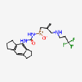 C=C(CNCCC(F)(F)F)C[S+]([O-])NC(=O)Nc1c2c(cc3c1CCC3)CCC2